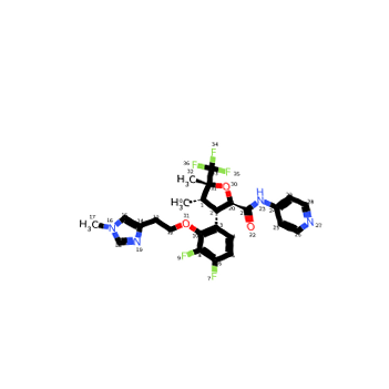 C[C@H]1[C@@H](c2ccc(F)c(F)c2OCCc2cn(C)cn2)[C@H](C(=O)Nc2ccncc2)O[C@@]1(C)C(F)(F)F